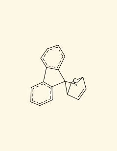 C1=CC2CCC1SC21c2ccccc2-c2ccccc21